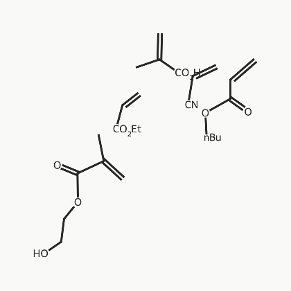 C=C(C)C(=O)O.C=C(C)C(=O)OCCO.C=CC#N.C=CC(=O)OCC.C=CC(=O)OCCCC